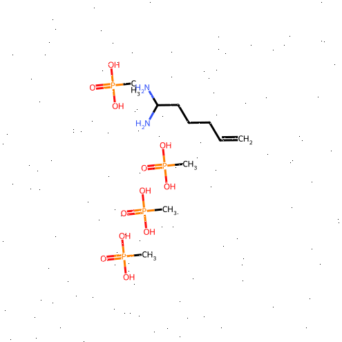 C=CCCCC(N)N.CP(=O)(O)O.CP(=O)(O)O.CP(=O)(O)O.CP(=O)(O)O